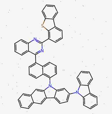 c1ccc2cc3c(cc2c1)c1ccc(-n2c4ccccc4c4ccccc42)cc1n3-c1cccc2c(-c3nc(-c4cccc5c4sc4ccccc45)nc4ccccc34)cccc12